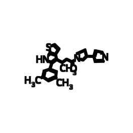 Cc1cc(C)cc(-c2[nH]c3sccc3c2[C@@H](C)CC(=O)N2CCC(c3ccncc3)C2)c1